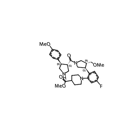 COC[C@H]1CN(C(=O)[C@@H]2CNC[C@H]2c2ccc(OC)cc2)C[C@@H]1c1ccc(F)cc1N1CCC(C(=O)OC)CC1